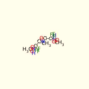 CN1c2cc(-c3ccc(NS(C)(=O)=O)c(C(F)(F)F)c3)ccc2Oc2ccc(-c3ccc(NS(C)(=O)=O)c(C(F)(F)F)c3)cc21